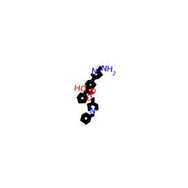 NCc1ccc(-c2ccc(C(O)(C(=O)OCC3CCN(Cc4ccccc4)CC3)c3ccccc3)cc2)cn1